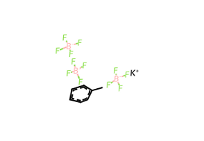 Cc1ccccc1.F[B-](F)(F)F.F[B-](F)(F)F.F[B-](F)(F)F.[K+]